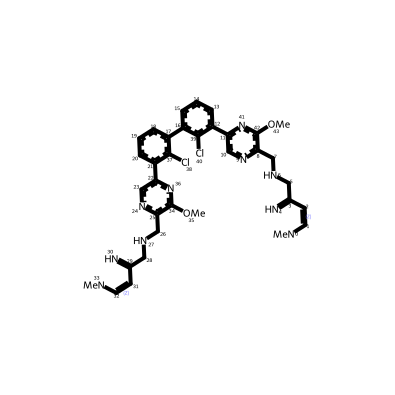 CN/C=C\C(=N)CNCc1ncc(-c2cccc(-c3cccc(-c4cnc(CNCC(=N)/C=C\NC)c(OC)n4)c3Cl)c2Cl)nc1OC